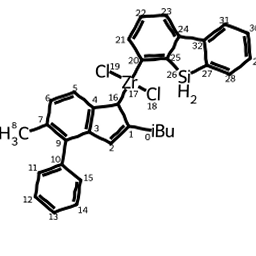 CCC(C)C1=Cc2c(ccc(C)c2-c2ccccc2)[CH]1[Zr]([Cl])([Cl])[c]1cccc2c1[SiH2]c1ccccc1-2